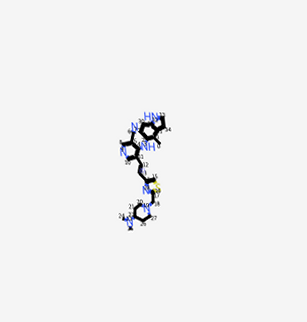 Cc1c(Nc2c(C#N)cncc2/C=C/c2csc(CN3CCC(N(C)C)CC3)n2)ccc2[nH]ccc12